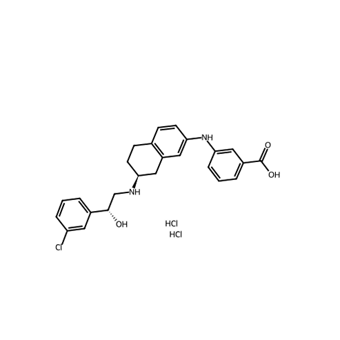 Cl.Cl.O=C(O)c1cccc(Nc2ccc3c(c2)C[C@@H](NC[C@H](O)c2cccc(Cl)c2)CC3)c1